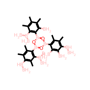 BBc1c(B)c(B)c(B2OB(c3c(B)c(C)c(C)c(C)c3B(B)B)OB(c3c(C)c(C)c(BB)c(C)c3B(B)B)O2)c(C)c1C